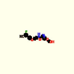 CC(C)(O)COc1ccc2c(C(=O)NC3CC4(C3)CC(Oc3ccc(-c5cc(F)cc(C#N)c5)cc3)C4)cnn2c1